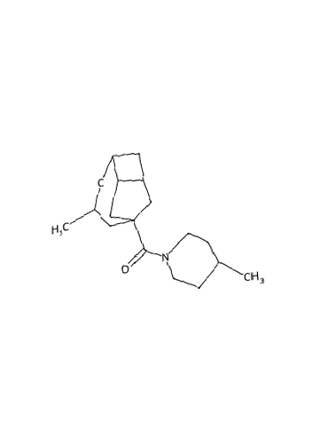 CC1CCN(C(=O)C23CC(C)CC4CC(C2)C4C3)CC1